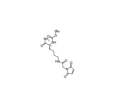 CC(C)(C)OC(=O)N[C@@H](CCCCNC(=O)CN1C(=O)C=CC1=O)C(N)=O